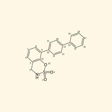 O=S1(=O)NCc2cccc(-c3ccc(-c4ccccc4)cc3)c2O1